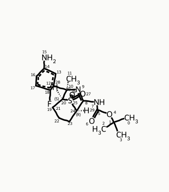 CC(C)(C)OC(=O)NC1=N[C@](C)(c2cc(N)ccc2F)[C@@H]2CCC[C@H]1S2(=O)=O